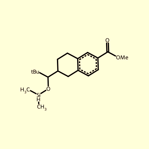 COC(=O)c1ccc2c(c1)CCC(C(O[SiH](C)C)C(C)(C)C)C2